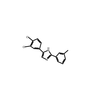 Cc1cccc(-c2ncc(-c3ccc(Cl)c(Cl)c3)[nH]2)c1